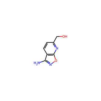 Nc1noc2nc(CO)ccc12